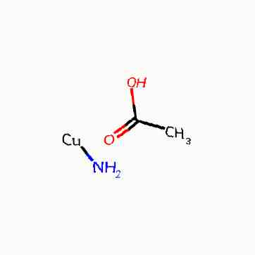 CC(=O)O.[NH2][Cu]